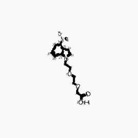 O=C(O)COCCOCCn1ccc2c([N+](=O)[O-])cccc21